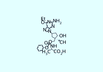 C#C[C@]1(CO[P@@](=O)(NC(C)C(=O)O)Oc2ccccc2)C[C@@H](n2cnc3c(OCC)nc(N)nc32)C[C@@H]1O